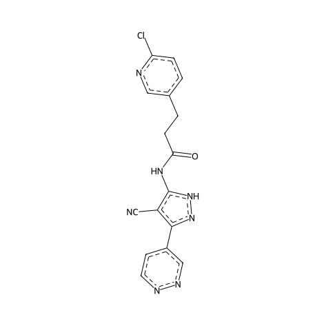 N#Cc1c(-c2ccnnc2)n[nH]c1NC(=O)CCc1ccc(Cl)nc1